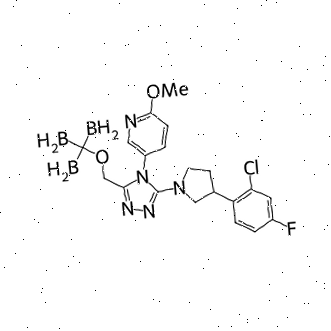 BC(B)(B)OCc1nnc(N2CCC(c3ccc(F)cc3Cl)C2)n1-c1ccc(OC)nc1